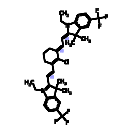 CCN1/C(=C/C=C2\CCCC(/C=C/C3=[N+](CC)c4ccc(C(F)(F)F)cc4C3(C)C)=C2Cl)C(C)(C)c2cc(C(F)(F)F)ccc21